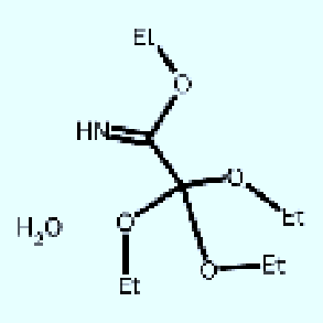 CCOC(=N)C(OCC)(OCC)OCC.O